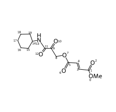 COC(=O)/C=C/C(=O)OCC(=O)C(=O)NC1CCCCC1